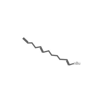 C=CCCC=CCCCCC=CCCCC